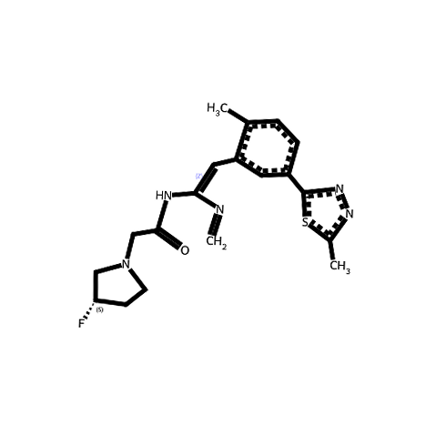 C=N/C(=C\c1cc(-c2nnc(C)s2)ccc1C)NC(=O)CN1CC[C@H](F)C1